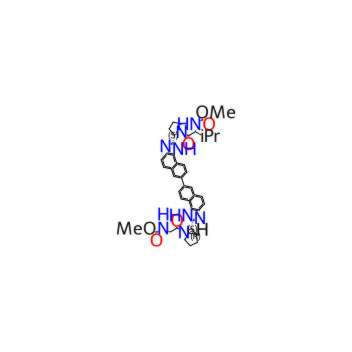 COC(=O)NCC(=O)N1C2CC[C@H](C2)[C@H]1c1nc2ccc3cc(-c4ccc5c(ccc6nc([C@@H]7CCCN7C(=O)C(NC(=O)OC)C(C)C)[nH]c65)c4)ccc3c2[nH]1